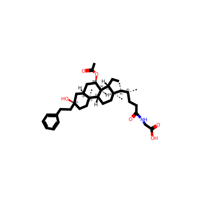 CC(=O)O[C@@H]1C[C@@H]2C[C@@](O)(CCc3ccccc3)CC[C@]2(C)[C@H]2CC[C@]3(C)[C@@H]([C@H](C)CCC(=O)NCC(=O)O)CC[C@H]3[C@H]12